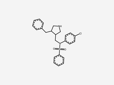 O=S(=O)(c1ccccc1)N(CC1CNCC1Cc1ccccc1)c1ccc(Cl)cc1